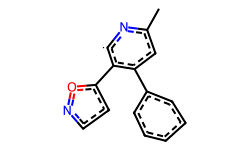 Cc1cc(-c2ccccc2)c(-c2ccno2)[c]n1